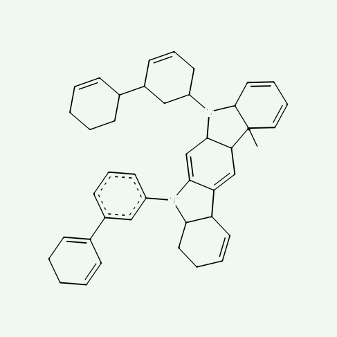 CC12C=CC=CC1N(C1CC=CC(C3C=CCCC3)C1)C1C=C3C(=CC12)C1C=CCCC1N3c1cccc(C2=CCCC=C2)c1